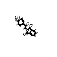 CSc1ccc(C(=O)CN2C(=O)c3ccccc3C2=O)cc1